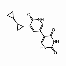 O=c1[nH]cc(-c2c[nH]c(=O)c([C@@H]3C[C@H]3C3CC3)c2)c(=O)[nH]1